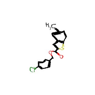 Cc1ccc2sc(C(=O)OCc3ccc(Cl)cc3)cc2c1